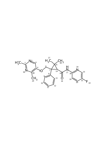 Cc1ncc(OCC2(c3ccccc3)C(C(=O)Nc3ccc(F)cn3)C2(C)C)c(C)n1